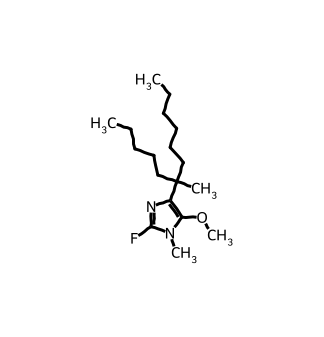 CCCCCCC(C)(CCCCC)c1nc(F)n(C)c1OC